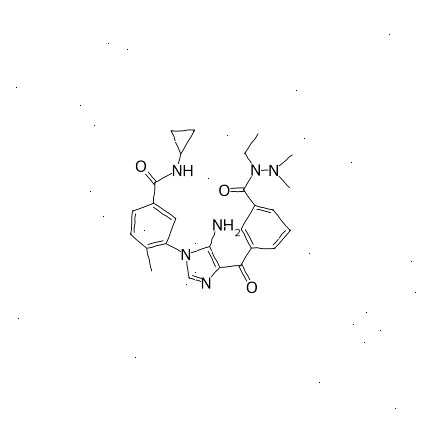 CCN(C(=O)c1cccc(C(=O)c2ncn(-c3cc(C(=O)NC4CC4)ccc3C)c2N)c1)N(C)C